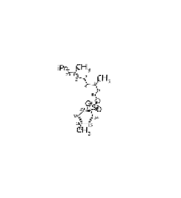 C/C(=C\CCC(C)CCOS(=O)(=O)c1ccc(C)cc1)CC(C)C